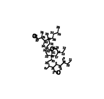 CCC(C=O)CC(C)C(C)CC.CCC(C=O)CC(CC)(CC)CC.CCCCC(C)(CC)C(C)C(C)C=O